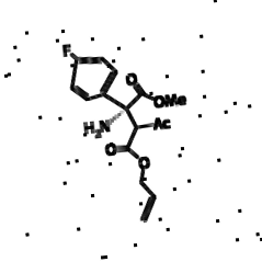 C=CCOC(=O)C(C(C)=O)[C@](N)(C(=O)OC)c1ccc(F)cc1